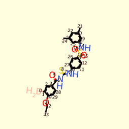 Bc1cc(C(=O)NC(=S)Nc2ccc(S(=O)(=O)Nc3cc(C)cc(C)c3)cc2)ccc1OCC